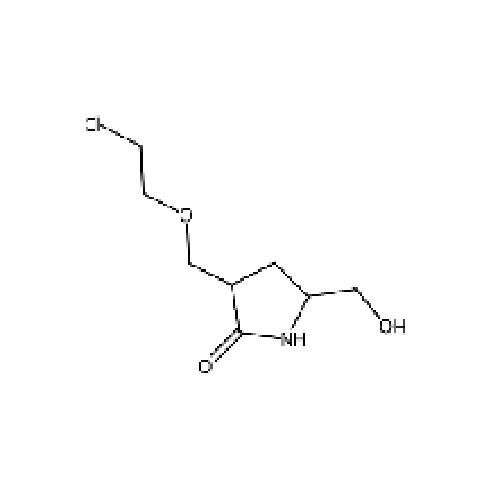 O=C1NC(CO)CC1COCCCl